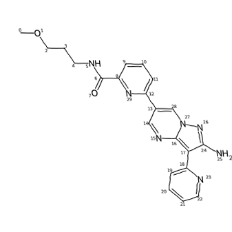 COCCCNC(=O)c1cccc(-c2cnc3c(-c4ccccn4)c(N)nn3c2)n1